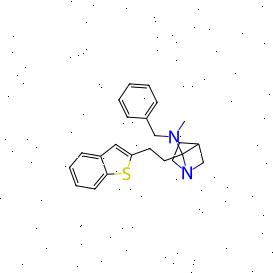 CN(Cc1ccccc1)C1(CCc2cc3ccccc3s2)C2CCN1C2